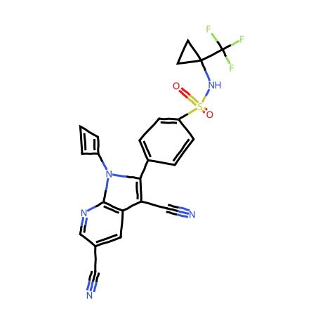 N#Cc1cnc2c(c1)c(C#N)c(-c1ccc(S(=O)(=O)NC3(C(F)(F)F)CC3)cc1)n2C1=CC=C1